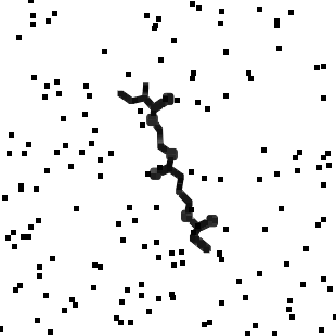 C=CC(=O)OCCCC(=O)OCCOC(=O)C(C)CC